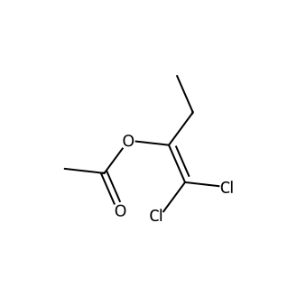 CCC(OC(C)=O)=C(Cl)Cl